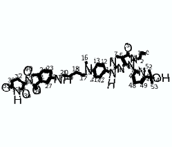 C=CCn1c(=O)c2cnc(Nc3ccc(N(C)CCCCNc4ccc5c(c4)C(=O)N(C4CCC(=O)NC4=O)C5=O)cc3)nc2n1-c1cccc(C(C)(C)O)n1